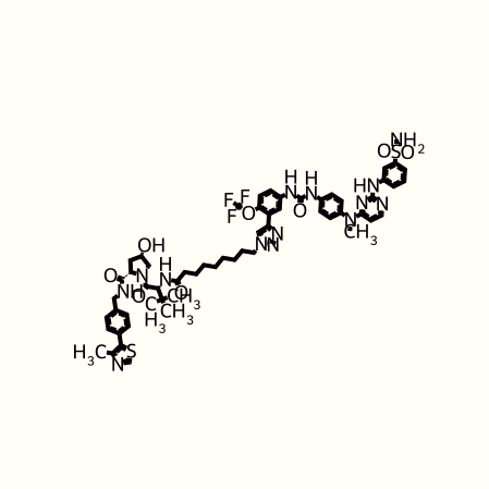 Cc1ncsc1-c1ccc(CNC(=O)[C@@H]2C[C@@H](O)CN2C(=O)[C@@H](NC(=O)CCCCCCCCn2cc(-c3cc(NC(=O)Nc4ccc(N(C)c5ccnc(Nc6cccc(S(N)(=O)=O)c6)n5)cc4)ccc3OC(F)(F)F)nn2)C(C)(C)C)cc1